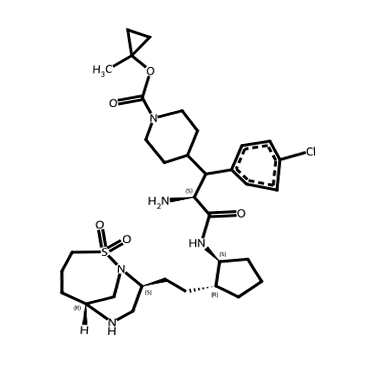 CC1(OC(=O)N2CCC(C(c3ccc(Cl)cc3)[C@H](N)C(=O)N[C@H]3CCC[C@@H]3CC[C@H]3CN[C@@H]4CCCS(=O)(=O)N3C4)CC2)CC1